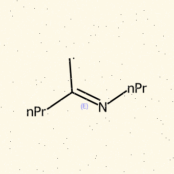 [CH2]/C(CCC)=N\CCC